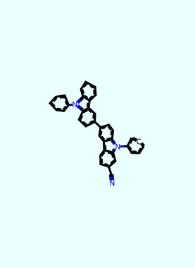 N#Cc1ccc2c3cc(-c4ccc5c(c4)c4ccccc4n5-c4ccccc4)ccc3n(-c3ccccc3)c2c1